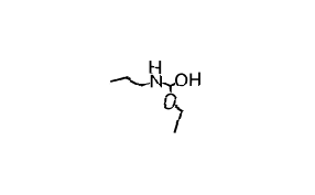 CCCNC(O)OCC